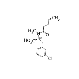 C=CCCC(=O)N(C)[C@@H](Cc1cccc(Cl)c1)C(=O)O